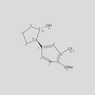 COc1ncc([C@H]2CCC[C@@H]2O)cc1C(F)(F)F